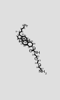 CC(C)CCC[C@@H](C)[C@@H]1CC[C@@H]2[C@@H]3CC=C4C[C@@H](OC(=O)NCCOCCOCCN)CC[C@]4(C)[C@@H]3CC[C@@]21C